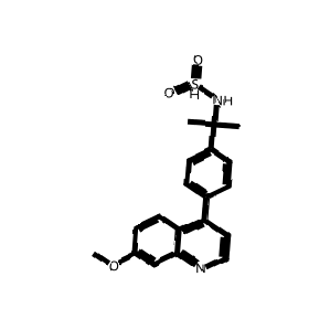 COc1ccc2c(-c3ccc(C(C)(C)N[SH](=O)=O)cc3)ccnc2c1